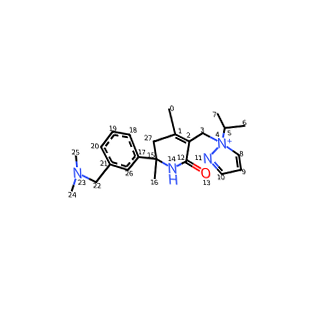 CC1=C(C[N+]2(C(C)C)C=CC=N2)C(=O)NC(C)(c2cccc(CN(C)C)c2)C1